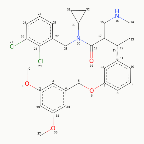 COc1cc(COc2cccc([C@H]3CCNCC3C(=O)N(Cc3cccc(Cl)c3Cl)C3CC3)c2)cc(OC)c1